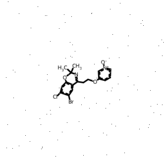 CC1(C)N=C(CCOc2ccc[n+]([O-])c2)c2cc(Br)c(Cl)cc2O1